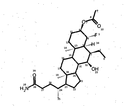 CC[C@@H]1[C@@H]2[C@@H](F)[C@H](OC(C)=O)CC[C@]2(C)C2CC[C@@]3(C)C(CCC3[C@H](C)CCC(N)=O)C2[C@@H]1O